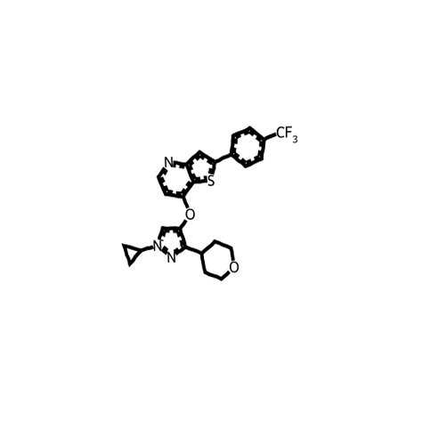 FC(F)(F)c1ccc(-c2cc3nccc(Oc4cn(C5CC5)nc4C4CCOCC4)c3s2)cc1